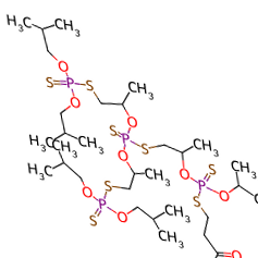 CC(C)COP(=S)(OCC(C)C)SCC(C)OP(=S)(OC(C)CSP(=S)(OCC(C)C)OCC(C)C)SCC(C)OP(=S)(OC(C)C)SCCC(=O)O